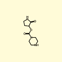 O=C1NCCC1OC(=O)N1CCNCC1